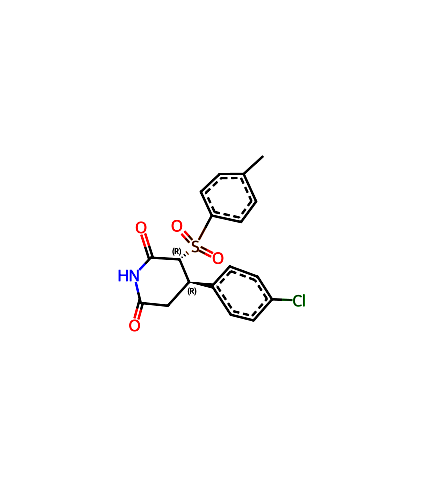 Cc1ccc(S(=O)(=O)[C@H]2C(=O)NC(=O)C[C@@H]2c2ccc(Cl)cc2)cc1